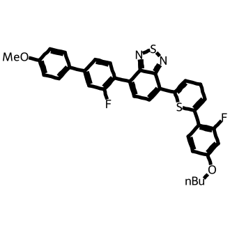 CCCCOc1ccc(C2=CCC=C(c3ccc(-c4ccc(-c5ccc(OC)cc5)cc4F)c4nsnc34)S2)c(F)c1